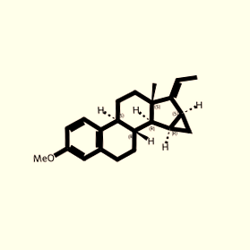 CC=C1[C@H]2C[C@H]2[C@H]2[C@@H]3CCc4cc(OC)ccc4[C@H]3CC[C@]12C